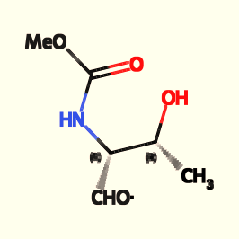 COC(=O)N[C@@H]([C]=O)[C@@H](C)O